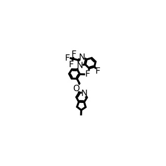 Cc1c(COc2cc3c(cn2)CC(C)C3)cccc1-n1c(C(F)(F)F)nc2ccc(F)c(F)c21